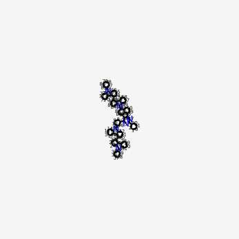 c1ccc(-c2nc(-c3cccc(-n4c5ccccc5c5c(-c6cccc7c6c6ccccc6n7-c6ccccc6)cccc54)c3)c3c(n2)-c2cccc4c(-n5c6ccccc6c6c(-c7cccc8c7c7ccccc7n8-c7ccccc7)cccc65)ccc-3c24)cc1